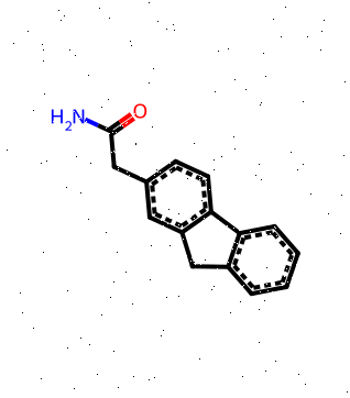 NC(=O)Cc1ccc2c(c1)Cc1ccccc1-2